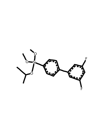 CO[Si](OC)(OC(C)C)c1ccc(-c2cc(F)cc(F)c2)cc1